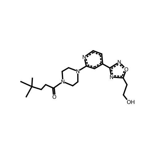 CC(C)(C)CCC(=O)N1CCN(c2cc(-c3noc(CCO)n3)ccn2)CC1